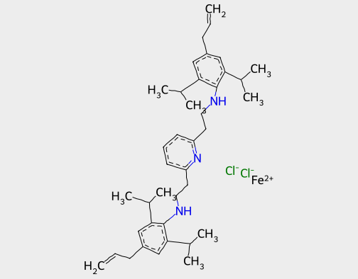 C=CCc1cc(C(C)C)c(NCCc2cccc(CCNc3c(C(C)C)cc(CC=C)cc3C(C)C)n2)c(C(C)C)c1.[Cl-].[Cl-].[Fe+2]